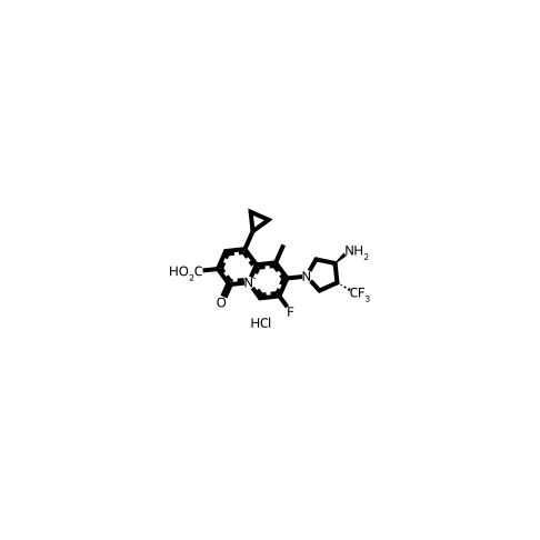 Cc1c(N2C[C@@H](N)[C@H](C(F)(F)F)C2)c(F)cn2c(=O)c(C(=O)O)cc(C3CC3)c12.Cl